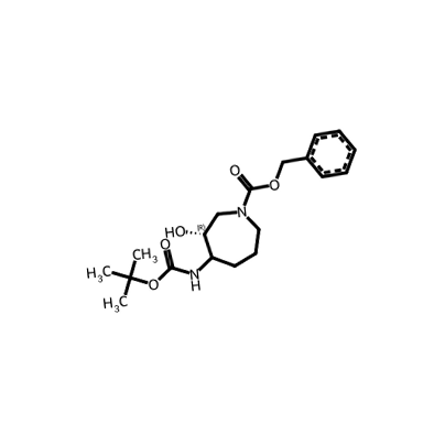 CC(C)(C)OC(=O)NC1CCCN(C(=O)OCc2ccccc2)C[C@H]1O